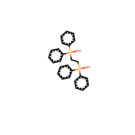 O[PH](CC[PH](O)(c1ccccc1)c1ccccc1)(c1ccccc1)c1ccccc1